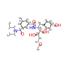 CCCN(CCC)C(=O)c1cc(C)cc(C(=O)NC(Cc2ccc(O)cc2)C(O)C(O)CCOC)c1